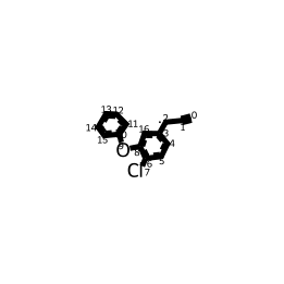 C#C[CH]c1ccc(Cl)c(Oc2ccccc2)c1